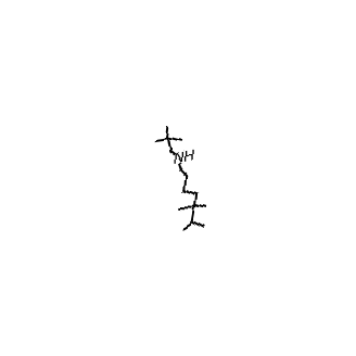 CC(C)C(C)(C)CCCCNCC(C)(C)C